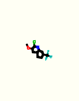 COc1cc2ccc(C(F)(F)F)cc2nc1Cl